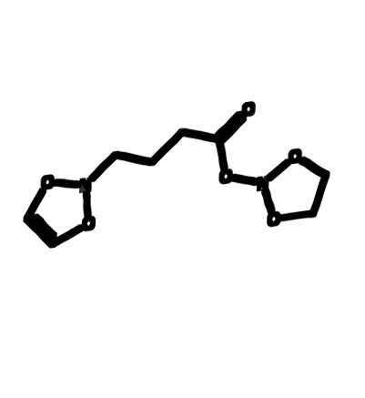 O=C(CCCN1OC=CO1)ON1OCCO1